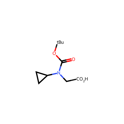 CC(C)(C)OC(=O)N(CC(=O)O)C1CC1